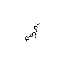 COC(=O)[C@@H]1CCN(C2CCc3c2cc2nc(-c4cccc(Br)c4C)oc2c3C#N)C1